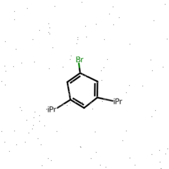 C[C](C)c1cc(Br)cc(C(C)C)c1